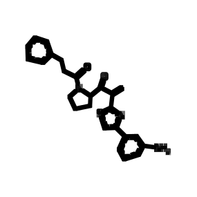 C=C(C(=O)C1CCCN1C(=O)CCc1ccccc1)c1nc(-c2cccc(N)c2)cs1